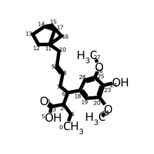 CCC(C(=O)O)C(CC=CCC12CCC(CC1)C2)c1cc(OC)c(O)c(OC)c1